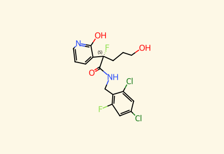 O=C(NCc1c(F)cc(Cl)cc1Cl)[C@](F)(CCCO)c1cccnc1O